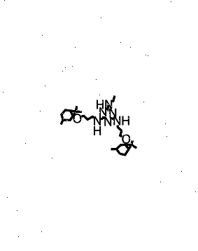 CCNc1nc(NCCCOC23CC(C)CCC2C3(C)C)nc(NCCCOC23CC(C)CCC2C3(C)C)n1